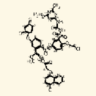 COC(=O)c1cc(Oc2ccc(Cl)cc2Cl)ccc1[N+](=O)[O-].COc1nc(C)nc(NC(=O)NS(=O)(=O)c2ccccc2OCCCl)n1.O=C(O)COc1ccc(Cl)c2cccnc12